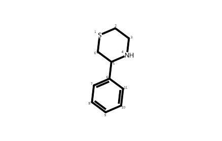 [CH]1SCCNC1c1ccccc1